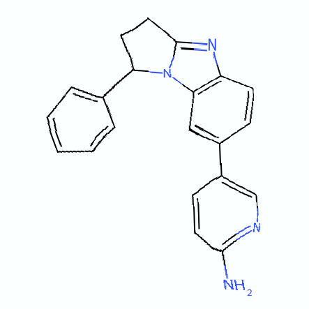 Nc1ccc(-c2ccc3nc4n(c3c2)C(c2ccccc2)CC4)cn1